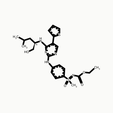 CCOC(=O)N=S(C)(=O)c1ccc(Nc2ncc(-c3cccs3)c(N[C@@H](CO)CC(C)C)n2)cc1